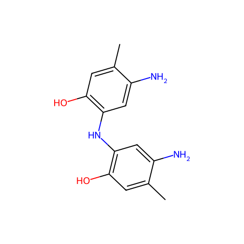 Cc1cc(O)c(Nc2cc(N)c(C)cc2O)cc1N